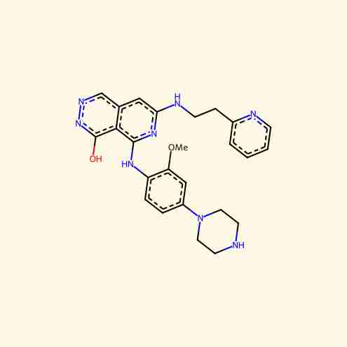 COc1cc(N2CCNCC2)ccc1Nc1nc(NCCc2ccccn2)cc2cnnc(O)c12